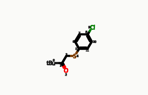 CC(C)(C)C(=O)CSc1ccc(Cl)cc1